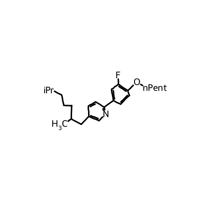 CCCCCOc1ccc(-c2ccc(CC(C)CCCC(C)C)cn2)cc1F